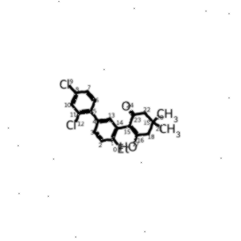 CCc1ccc(-c2ccc(Cl)cc2Cl)cc1C1=C(O)CC(C)(C)CC1=O